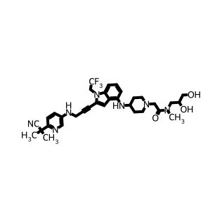 CN(CC(O)CO)C(=O)CN1CCC(Nc2cccc3c2cc(C#CCNc2ccc(C(C)(C)C#N)nc2)n3CC(F)(F)F)CC1